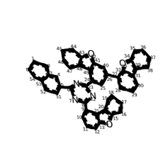 c1ccc2cc(-c3nc(-c4cccc5oc6ccccc6c45)nc(-c4cc(-c5cccc6c5oc5ccccc56)cc5oc6ccccc6c45)n3)ccc2c1